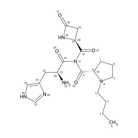 CCCCN1CCC[C@H]1C(=O)N(C(=O)[C@@H]1CC(=O)N1)C(=O)[C@@H](N)Cc1c[nH]cn1